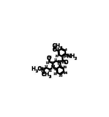 COc1ccc(N)c(C(=O)N2CC(C=O)N(CCN(C)C)c3ccccc32)c1